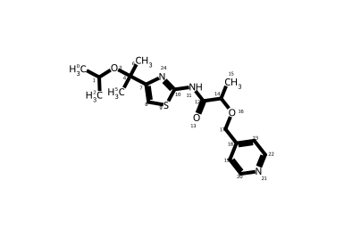 CC(C)OC(C)(C)c1csc(NC(=O)C(C)OCc2ccncc2)n1